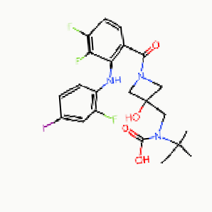 CC(C)(C)N(CC1(O)CN(C(=O)c2ccc(F)c(F)c2Nc2ccc(I)cc2F)C1)C(=O)O